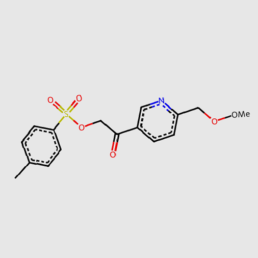 COOCc1ccc(C(=O)COS(=O)(=O)c2ccc(C)cc2)cn1